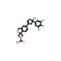 CCC(=O)N1CC2(C1)OCc1cc(C3=CCC(c4cc(Cl)c(F)c(Cl)c4)(C(F)(F)F)C3)ccc12